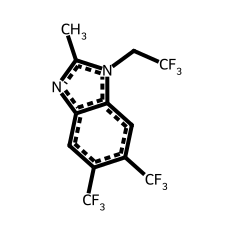 Cc1nc2cc(C(F)(F)F)c(C(F)(F)F)cc2n1CC(F)(F)F